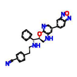 N#Cc1ccc(CCN[C@H](c2ccccc2)[C@@H]2CNc3cc(-c4ccc5nonc5c4)cnc3O2)cc1